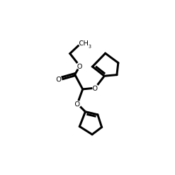 CCOC(=O)C(OC1=CCCC1)OC1=CCCC1